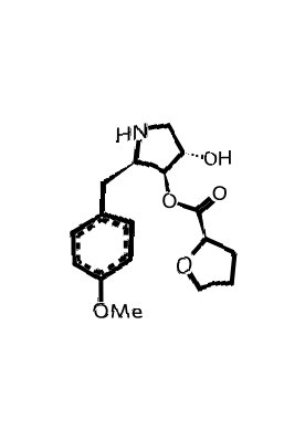 COc1ccc(C[C@H]2NC[C@H](O)[C@H]2OC(=O)[C@H]2CCCO2)cc1